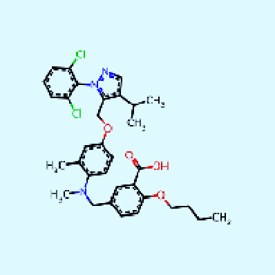 CCCCOc1ccc(CN(C)c2ccc(OCc3c(C(C)C)cnn3-c3c(Cl)cccc3Cl)cc2C)cc1C(=O)O